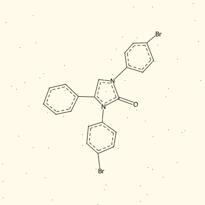 O=c1n(-c2ccc(Br)cc2)cc(-c2ccccc2)n1-c1ccc(Br)cc1